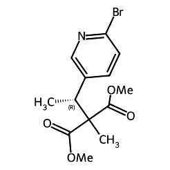 COC(=O)C(C)(C(=O)OC)[C@H](C)c1ccc(Br)nc1